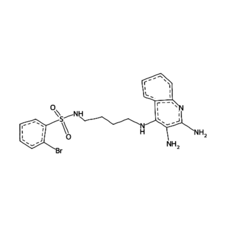 Nc1nc2ccccc2c(NCCCCNS(=O)(=O)c2ccccc2Br)c1N